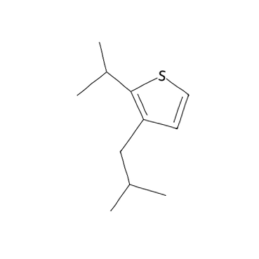 CC(C)Cc1ccsc1C(C)C